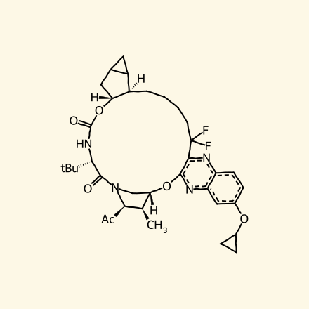 CC(=O)[C@@H]1[C@H](C)[C@@H]2CN1C(=O)[C@H](C(C)(C)C)NC(=O)O[C@@H]1CC3CC3[C@H]1CCCCC(F)(F)c1nc3ccc(OC4CC4)cc3nc1O2